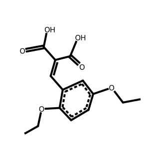 CCOc1ccc(OCC)c(C=C(C(=O)O)C(=O)O)c1